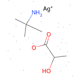 CC(C)(C)N.CC(O)C(=O)[O-].[Ag+]